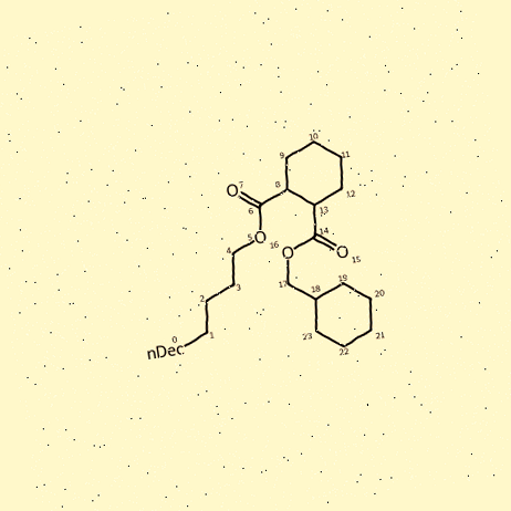 CCCCCCCCCCCCCCOC(=O)C1CCCCC1C(=O)OCC1CCCCC1